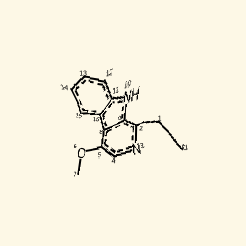 CCc1ncc(OC)c2c1[nH]c1ccccc12